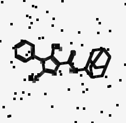 Cc1nc(C(=O)NC2C3CC4CC(C3)CC2C4)c(C)n1-c1ccccc1